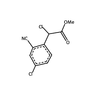 COC(=O)C(Cl)c1ccc(Cl)cc1C#N